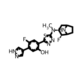 CN(c1nnc(-c2cc(F)c(-c3cn[nH]c3)cc2O)s1)[C@H]1CC2CCC(N2)[C@H]1F